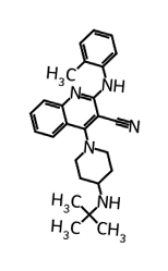 Cc1ccccc1Nc1nc2ccccc2c(N2CCC(NC(C)(C)C)CC2)c1C#N